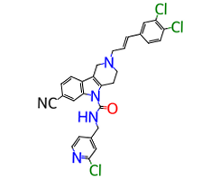 N#Cc1ccc2c3c(n(C(=O)NCc4ccnc(Cl)c4)c2c1)CCN(CC=Cc1ccc(Cl)c(Cl)c1)C3